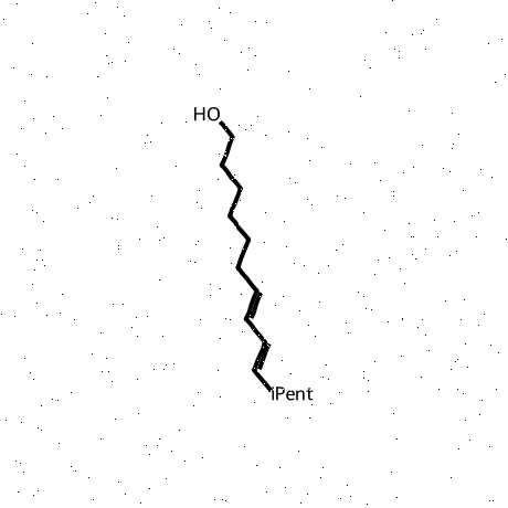 CCCC(C)C=CC=CCCCCCCO